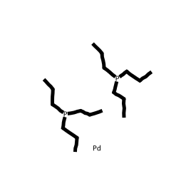 CCCP(CCC)CCC.CCCP(CCC)CCC.[Pd]